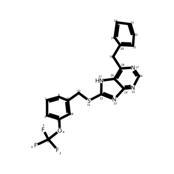 FC(F)(F)Oc1cccc(CSc2nc3ncnc(Cc4ccccc4)c3[nH]2)c1